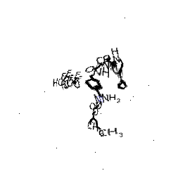 CCCCC(CC)COC(=O)O/N=C(\N)c1ccc(CNC(=O)[C@H](C)NC(=O)[C@H]2C[C@@H](c3ccccc3)CCN2)cc1.O=C(O)C(F)(F)F.O=C(O)C(F)(F)F